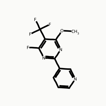 COc1nc(-c2cccnc2)nc(F)c1C(F)(F)F